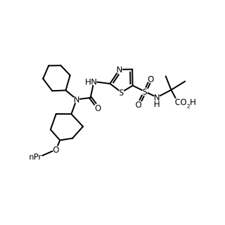 CCCOC1CCC(N(C(=O)Nc2ncc(S(=O)(=O)NC(C)(C)C(=O)O)s2)C2CCCCC2)CC1